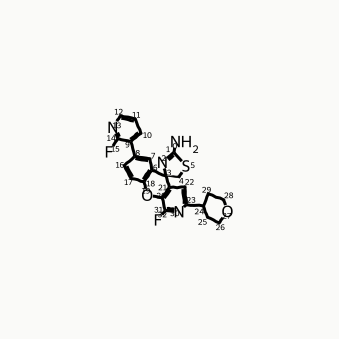 NC1=N[C@@]2(CS1)c1cc(-c3cccnc3F)ccc1Oc1c2cc(C2CCOCC2)nc1F